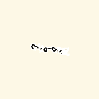 NC[C@H](NC(=O)c1ccc(C#Cc2ccc(NC(=O)CNCCc3ccccn3)cc2)cc1)C(=O)NO